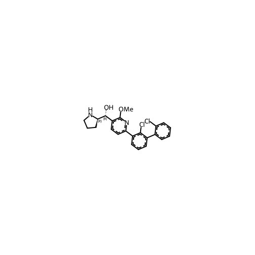 COc1nc(-c2cccc(-c3ccccc3Cl)c2Cl)ccc1[C@@H](O)[C@H]1CCCN1